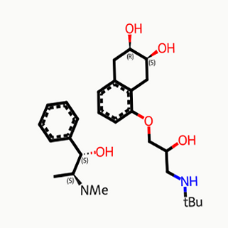 CC(C)(C)NCC(O)COc1cccc2c1C[C@H](O)[C@H](O)C2.CN[C@@H](C)[C@@H](O)c1ccccc1